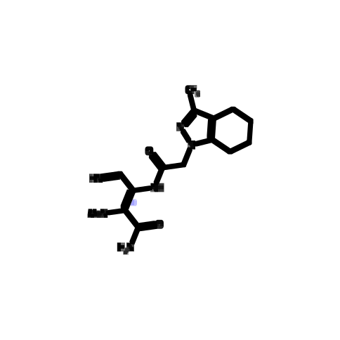 CN/C(C(N)=O)=C(\C=N)NC(=O)Cn1nc(C(F)(F)F)c2c1CCCC2